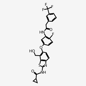 O=C(Cc1cccc(C(F)(F)F)c1)Nc1cc(Oc2ccc3nc(NC(=O)C4CC4)sc3c2CO)ccc1F